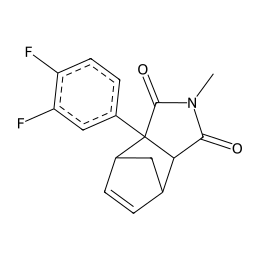 CN1C(=O)C2C3C=CC(C3)C2(c2ccc(F)c(F)c2)C1=O